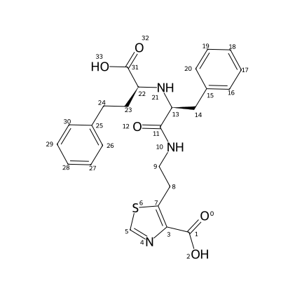 O=C(O)c1ncsc1CCNC(=O)[C@H](Cc1ccccc1)N[C@@H](CCc1ccccc1)C(=O)O